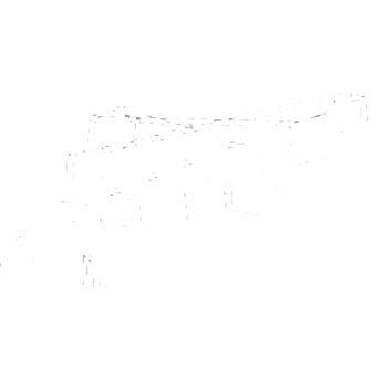 CN1CC23C=C4Cc5cc6c7c8c(cc9c%10c%11c%12c%13c%14c%15c(cc(c%14c%14c2c4c2c5c7c(c%12c%108)c2c%14%13)C3C1c1cccs1)=CC(C9)C%15%11)C6